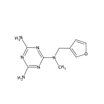 CN(Cc1ccoc1)c1nc(N)nc(N)n1